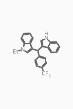 CCn1cc(C(c2ccc(C(F)(F)F)cc2)c2c[nH]c3ccccc23)c2ccccc21